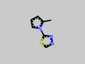 [CH2]c1cccn1-c1nncs1